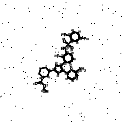 CC(C)(C)OC(=O)N1CCCC(c2nc(-c3cccc(NS(=O)(=O)c4cc(F)ccc4F)c3F)c(-c3ccnc(N)n3)s2)C1